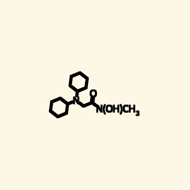 CN(O)C(=O)CN(C1CCCCC1)C1CCCCC1